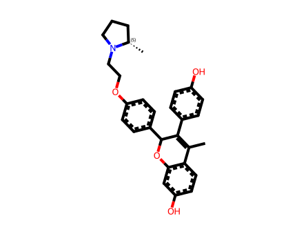 CC1=C(c2ccc(O)cc2)C(c2ccc(OCCN3CCC[C@@H]3C)cc2)Oc2cc(O)ccc21